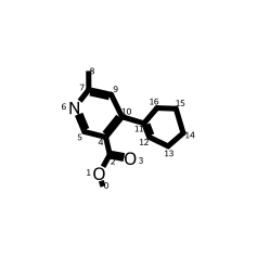 COC(=O)c1cnc(C)cc1C1=CCCCC1